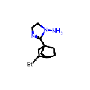 CCC1CC2(C3=NCCN3N)CCC1C2